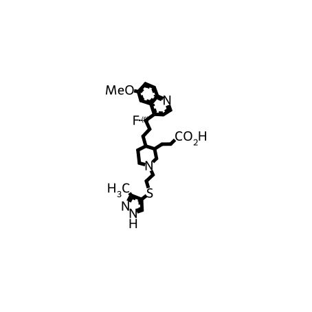 COc1ccc2nccc([C@@H](F)CCC3CCN(CCSc4c[nH]nc4C)CC3CCC(=O)O)c2c1